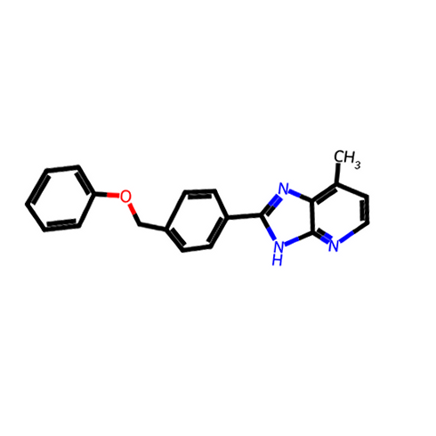 Cc1ccnc2[nH]c(-c3ccc(COc4ccccc4)cc3)nc12